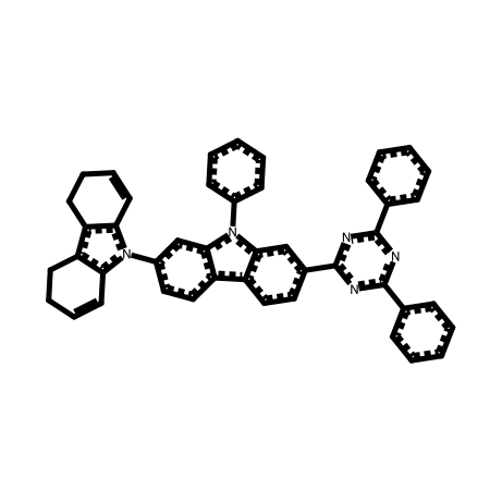 C1=Cc2c(c3c(n2-c2ccc4c5ccc(-c6nc(-c7ccccc7)nc(-c7ccccc7)n6)cc5n(-c5ccccc5)c4c2)C=CCC3)CC1